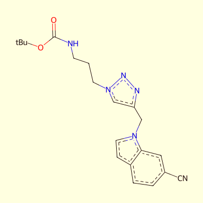 CC(C)(C)OC(=O)NCCCn1cc(Cn2ccc3ccc(C#N)cc32)nn1